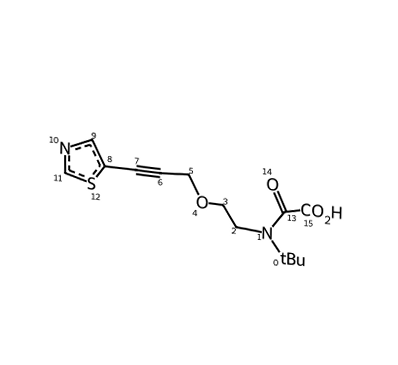 CC(C)(C)N(CCOCC#Cc1cncs1)C(=O)C(=O)O